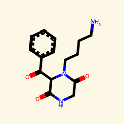 NCCCCN1C(=O)CNC(=O)C1C(=O)c1ccccc1